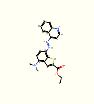 CCOC(=O)c1cc2c(N(C)C)ccc(/N=N/c3ccnc4ccccc34)c2s1